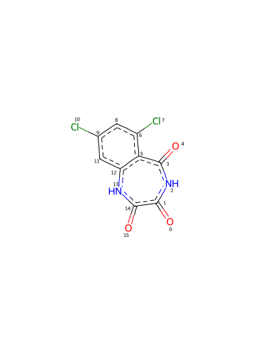 O=c1[nH]c(=O)c2c(Cl)cc(Cl)cc2[nH]c1=O